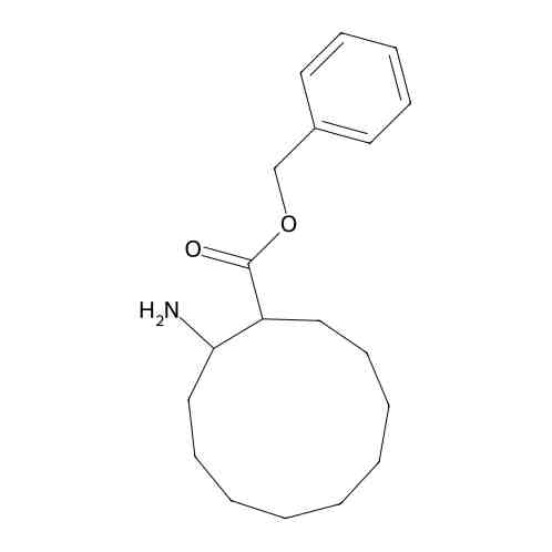 NC1CCCCCCCCCC1C(=O)OCc1ccccc1